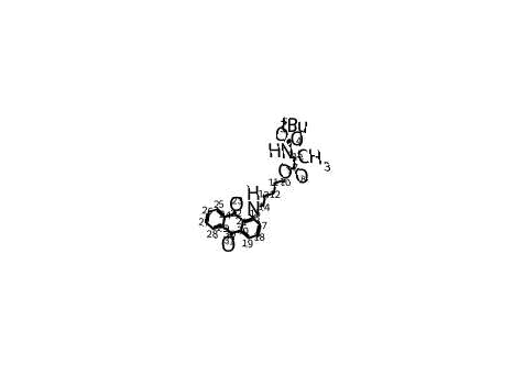 C[C@@H](NC(=O)OC(C)(C)C)C(=O)OCCCCCNc1cccc2c1C(=O)c1ccccc1C2=O